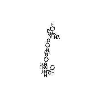 CC([C@H](C)NC[C@@H](O)c1ccccc1)n1ncn(-c2ccc(N3CCN(c4ccc(OC[C@@H]5CO[C@](Cn6cncn6)(c6ccc(F)cc6F)O5)cc4)CC3)cc2)c1=O